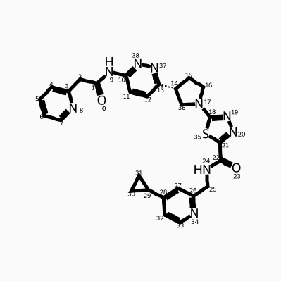 O=C(Cc1ccccn1)Nc1ccc([C@@H]2CCN(c3nnc(C(=O)NCc4cc(C5CC5)ccn4)s3)C2)nn1